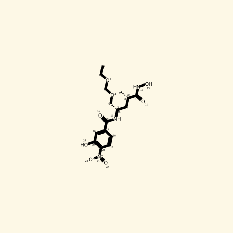 CCOCOC[C@H](C[C@H](C)C(=O)NO)NC(=O)c1ccc([N+](=O)[O-])c(O)c1